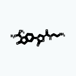 CC(C)N1C(=O)Cc2cc(N3C[C@@H](C(=O)NCCN)OC3=O)ccc21